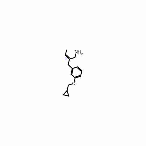 C/C=C(\CN)Cc1cccc(OCC2CC2)c1